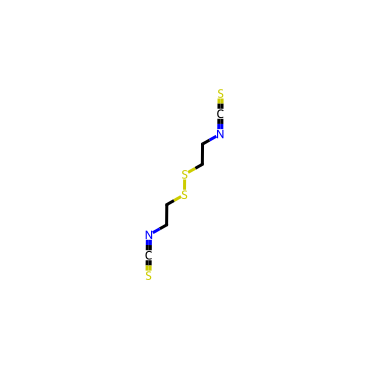 S=C=NCCSSCCN=C=S